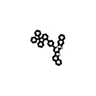 c1ccc(C2(c3ccccc3)c3ccccc3-c3c(-c4ccc(-c5cc6c7ccc8ccccc8c7sc6c6nc7cc8ccccc8cc7n56)cc4)cccc32)cc1